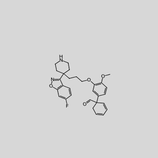 COc1ccc(C2(C=O)C=CC=CC2)cc1OCCCC1(c2noc3cc(F)ccc23)CCNCC1